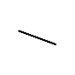 CCCCCCC=CCCCCCCCCCCCCCCCCCCCCCCCCC